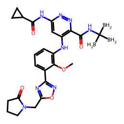 BC(B)(B)NC(=O)c1nnc(NC(=O)C2CC2)cc1Nc1cccc(-c2noc(CN3CCCC3=O)n2)c1OC